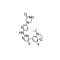 CC(C)N1CCOc2c(F)cc(-c3nc(Nc4ccc(N5CCNC(=O)C5)cn4)ncc3F)cc21